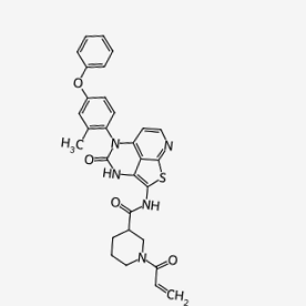 C=CC(=O)N1CCCC(C(=O)Nc2sc3nccc4c3c2NC(=O)N4c2ccc(Oc3ccccc3)cc2C)C1